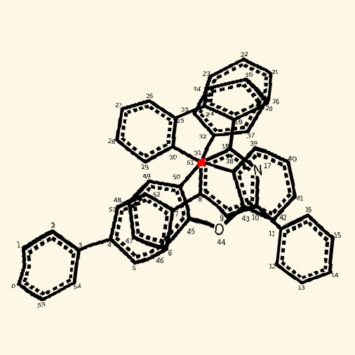 c1ccc(-c2ccc(-c3cc(-c4ccccc4)nc(-c4ccccc4-c4ccccc4C4(c5ccccc5)c5ccccc5Oc5ccccc54)n3)cc2)cc1